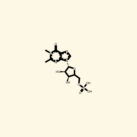 Cc1nc2c(ncn2[C@@H]2OC(COP(=O)(O)O)[C@@H](O)[C@H]2O)c(=O)n1C